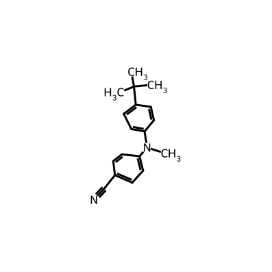 CN(c1ccc(C#N)cc1)c1ccc(C(C)(C)C)cc1